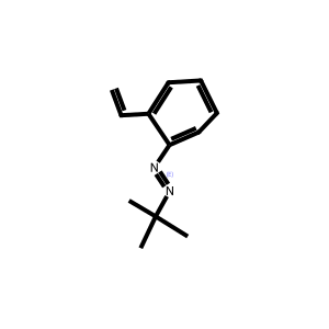 C=Cc1ccccc1/N=N/C(C)(C)C